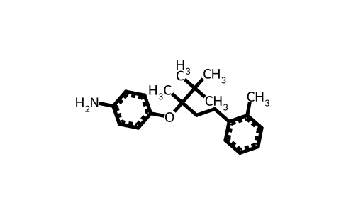 Cc1ccccc1CCC(C)(Oc1ccc(N)cc1)C(C)(C)C